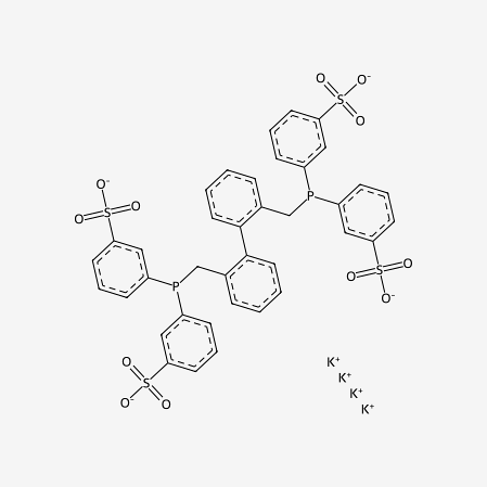 O=S(=O)([O-])c1cccc(P(Cc2ccccc2-c2ccccc2CP(c2cccc(S(=O)(=O)[O-])c2)c2cccc(S(=O)(=O)[O-])c2)c2cccc(S(=O)(=O)[O-])c2)c1.[K+].[K+].[K+].[K+]